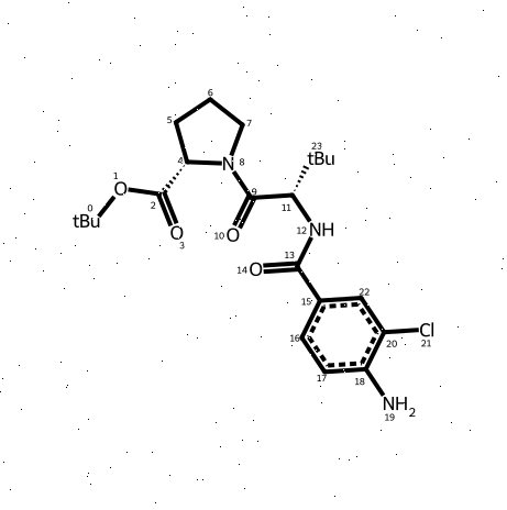 CC(C)(C)OC(=O)[C@@H]1CCCN1C(=O)[C@@H](NC(=O)c1ccc(N)c(Cl)c1)C(C)(C)C